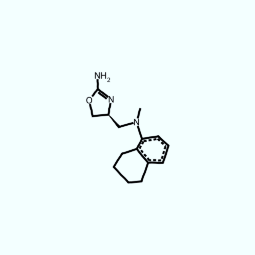 CN(C[C@H]1COC(N)=N1)c1cccc2c1CCCC2